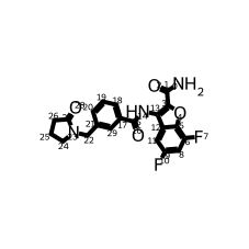 NC(=O)c1oc2c(F)cc(F)cc2c1NC(=O)c1cccc(CN2CCCC2=O)c1